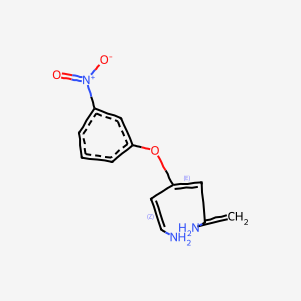 C=C(N)/C=C(\C=C/N)Oc1cccc([N+](=O)[O-])c1